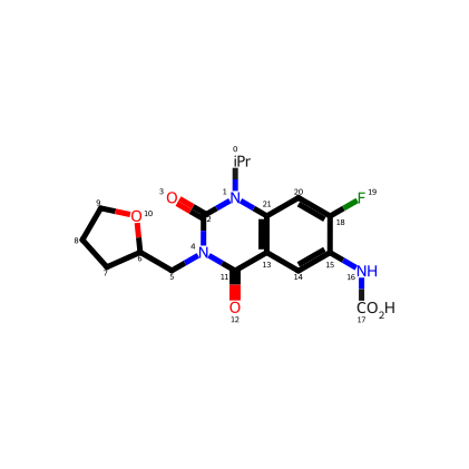 CC(C)n1c(=O)n(CC2CCCO2)c(=O)c2cc(NC(=O)O)c(F)cc21